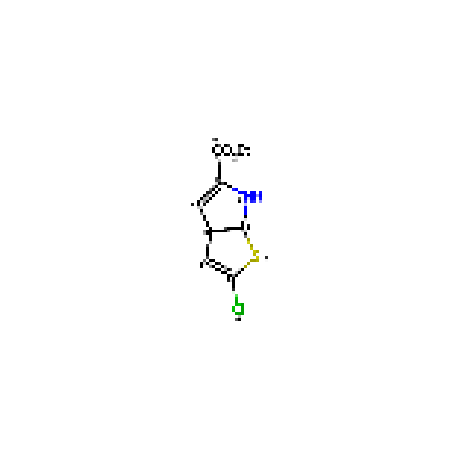 CCOC(=O)C1=CC2C=C(Cl)SC2N1